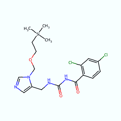 C[Si](C)(C)CCOCn1cncc1CNC(=O)NC(=O)c1ccc(Cl)cc1Cl